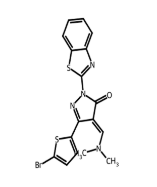 CN(C)C=C1C(=O)N(c2nc3ccccc3s2)N=C1c1ccc(Br)s1